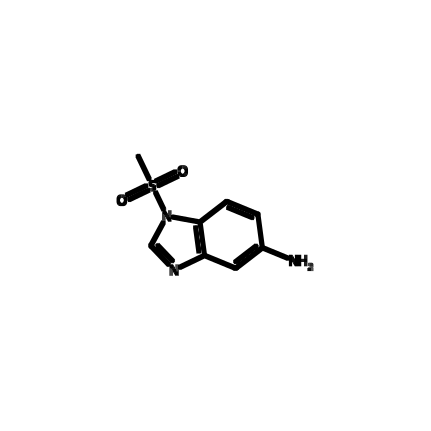 CS(=O)(=O)n1cnc2cc(N)ccc21